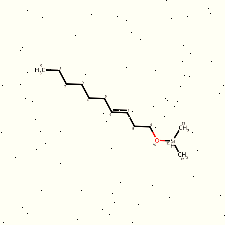 CCCCCCC=CCCO[SiH](C)C